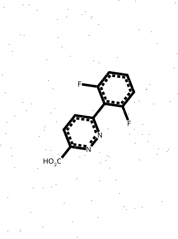 O=C(O)c1ccc(-c2c(F)cccc2F)nn1